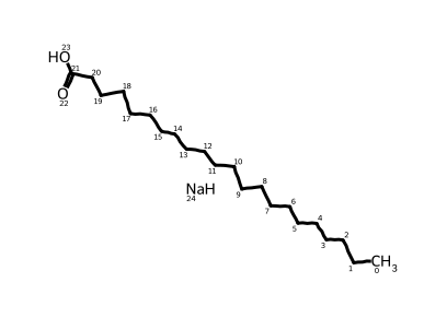 CCCCCCCCCCCCCCCCCCCCCC(=O)O.[NaH]